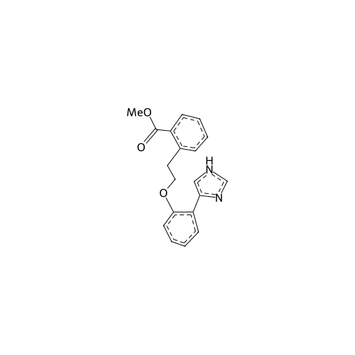 COC(=O)c1ccccc1CCOc1ccccc1-c1c[nH]cn1